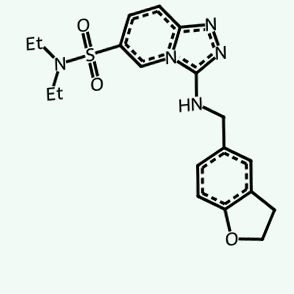 CCN(CC)S(=O)(=O)c1ccc2nnc(NCc3ccc4c(c3)CCO4)n2c1